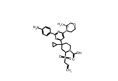 C=CCS(=O)(=O)C1CC(c2cc(N3CCOC[C@@H]3C)nc(-c3ccc(N)cc3)n2)(C2CC2)CCN1C(=O)O